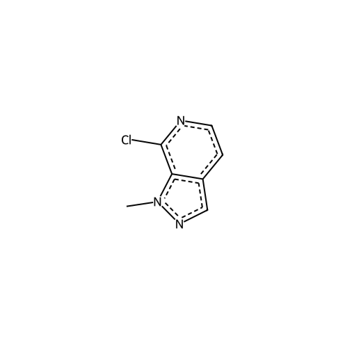 Cn1ncc2ccnc(Cl)c21